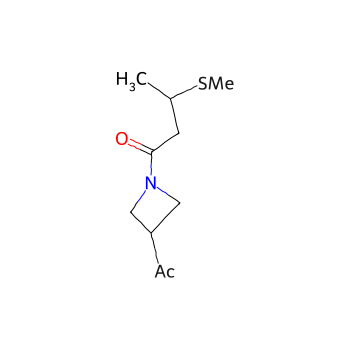 CSC(C)CC(=O)N1CC(C(C)=O)C1